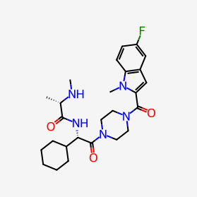 CN[C@@H](C)C(=O)N[C@H](C(=O)N1CCN(C(=O)c2cc3cc(F)ccc3n2C)CC1)C1CCCCC1